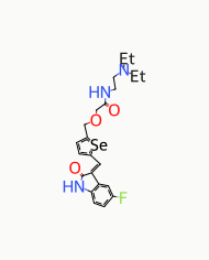 CCN(CC)CCNC(=O)COCc1ccc(C=C2C(=O)Nc3ccc(F)cc32)[se]1